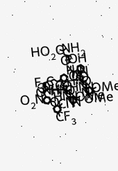 COc1cc(OC)nc(NC(=O)NS(=O)(=O)c2ncccc2C(=O)N(C)C)n1.COc1nc(C)nc(NC(=O)NS(=O)(=O)c2ccccc2CCC(F)(F)F)n1.CP(=O)(O)CCC(N)C(=O)O.CS(=O)(=O)NC(=O)c1cc(Oc2ccc(C(F)(F)F)cc2Cl)ccc1[N+](=O)[O-]